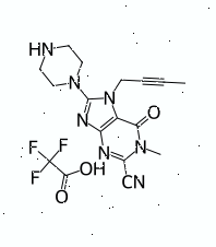 CC#CCn1c(N2CCNCC2)nc2nc(C#N)n(C)c(=O)c21.O=C(O)C(F)(F)F